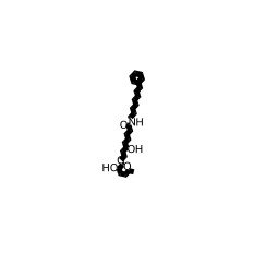 CC1CCC(O)C(OCCC(O)CCCCC(=O)NCCCCCCCCc2ccccc2)O1